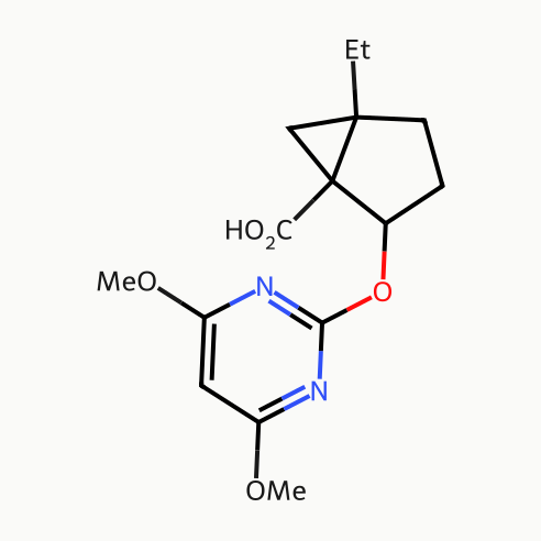 CCC12CCC(Oc3nc(OC)cc(OC)n3)C1(C(=O)O)C2